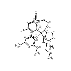 COCCCC[C@@](O)(c1cccc(F)c1-c1cc(C)cc(OC)c1)[C@@]1([C@@H]2CC[C@H](N)C2)CN(C=O)CCO1